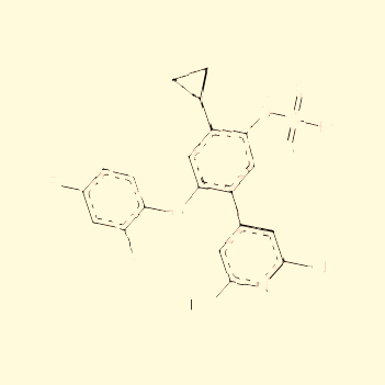 CCS(=O)(=O)Nc1cc(-c2cc(C)nc(C)c2)c(Oc2ccc(F)cc2F)cc1C1CC1